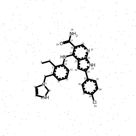 CCc1c(CN2C=CNC2)cccc1Nc1c(C(N)=O)cnc2[nH]c(-c3ccc(Cl)cc3)cc12